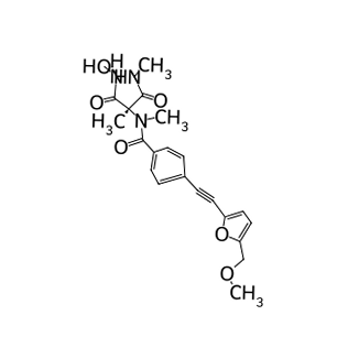 CNC(=O)[C@@](C)(C(=O)NO)N(C)C(=O)c1ccc(C#Cc2ccc(COC)o2)cc1